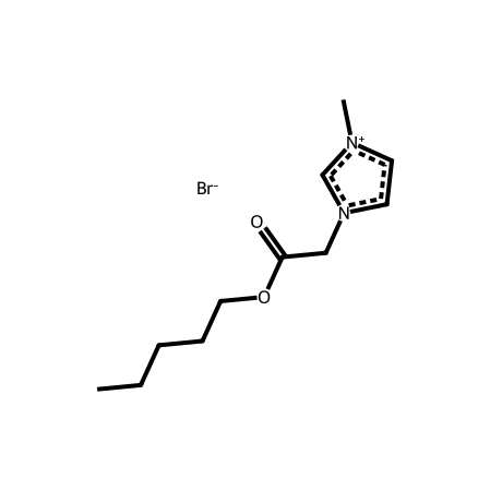 CCCCCOC(=O)Cn1cc[n+](C)c1.[Br-]